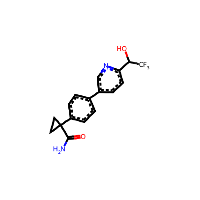 NC(=O)C1(c2ccc(-c3ccc(C(O)C(F)(F)F)nc3)cc2)CC1